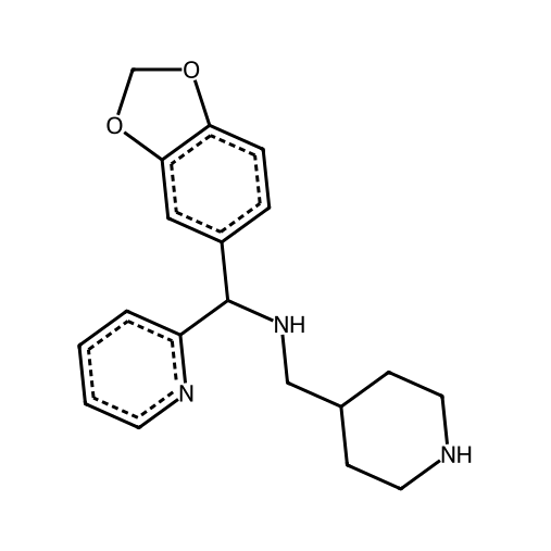 c1ccc(C(NCC2CCNCC2)c2ccc3c(c2)OCO3)nc1